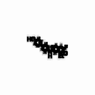 CCn1c(=O)c(F)cc2cnc(Nc3ccc(N4CCC(O)CC4)cc3)cc21